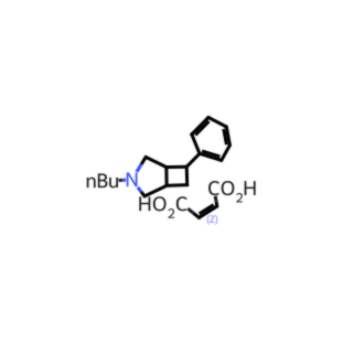 CCCCN1CC2CC(c3ccccc3)C2C1.O=C(O)/C=C\C(=O)O